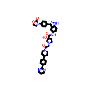 O=C(CN1CC[C@@](O)(C(=O)Nc2ccc3[nH]nc(-c4ccc(N5CCOC5=O)cc4)c3c2)C1)N1CC=C(c2ccc(-c3ncccn3)cc2)CC1